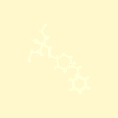 CCOP(=O)(C=CC1CCN(Cc2ccccc2)CC1)OCC